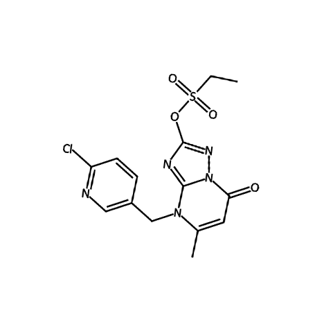 CCS(=O)(=O)Oc1nc2n(Cc3ccc(Cl)nc3)c(C)cc(=O)n2n1